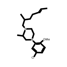 CC=CCCC(C)CN1CCN(c2cc(Cl)ccc2OC)CC1C